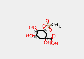 CS(=O)(=O)O[C@@H]1C[C@](O)(C(=O)O)C[C@@H](O)[C@H]1O